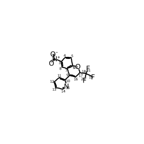 O=[N+]([O-])c1ccc2c(c1)C(c1ccccn1)=CC(C(F)(F)F)O2